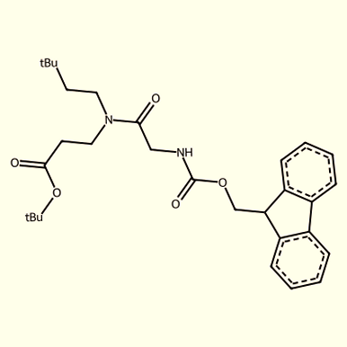 CC(C)(C)CCN(CCC(=O)OC(C)(C)C)C(=O)CNC(=O)OCC1c2ccccc2-c2ccccc21